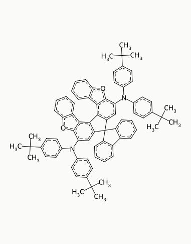 CC(C)(C)c1ccc(N(c2ccc(C(C)(C)C)cc2)c2cc3c(c4c2oc2ccccc24)-c2c(cc(N(c4ccc(C(C)(C)C)cc4)c4ccc(C(C)(C)C)cc4)c4oc5ccccc5c24)C32c3ccccc3-c3ccccc32)cc1